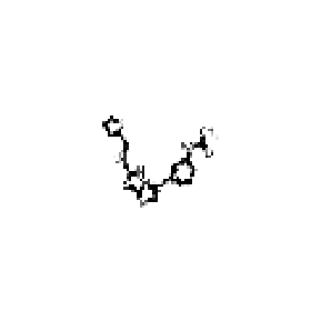 CC(=O)Nc1cccc(-c2cnc3sc(NCc4cccs4)nn23)c1